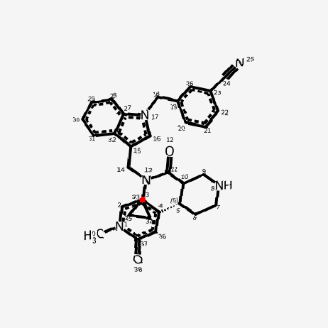 Cn1ccc([C@H]2CCNCC2C(=O)N(Cc2cn(Cc3cccc(C#N)c3)c3ccccc23)C2CC2)cc1=O